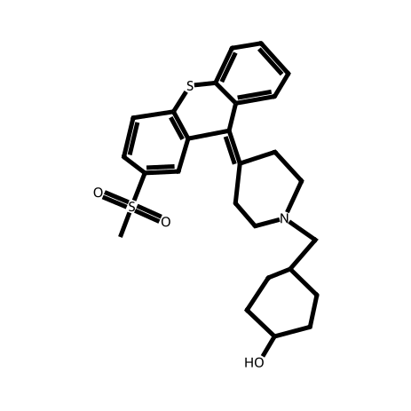 CS(=O)(=O)c1ccc2c(c1)C(=C1CCN(CC3CCC(O)CC3)CC1)c1ccccc1S2